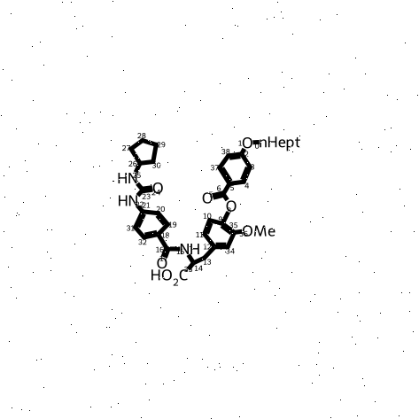 CCCCCCCOc1ccc(C(=O)Oc2ccc(CC(NC(=O)c3ccc(NC(=O)NC4CCCC4)cc3)C(=O)O)cc2OC)cc1